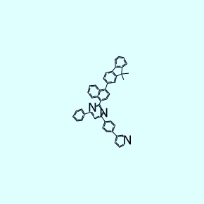 CC1(C)c2ccccc2-c2ccc(-c3ccc(-c4nc(-c5ccccc5)cc(-c5ccc(-c6cccnc6)cc5)n4)c4ccccc34)cc21